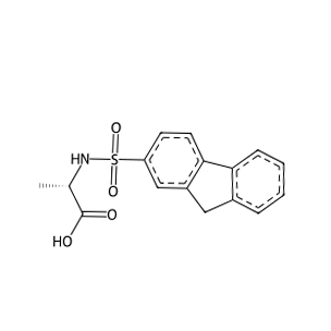 C[C@H](NS(=O)(=O)c1ccc2c(c1)Cc1ccccc1-2)C(=O)O